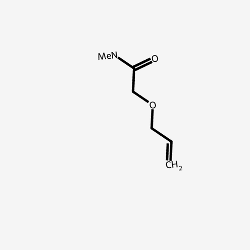 C=CCOCC(=O)NC